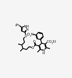 CCOC(=O)C1=C(C)NC(C)=C(C(=O)OCCC(C)C(C)CCOc2cc(C(C)C)[nH]n2)C1c1cccc([N+](=O)[O-])c1